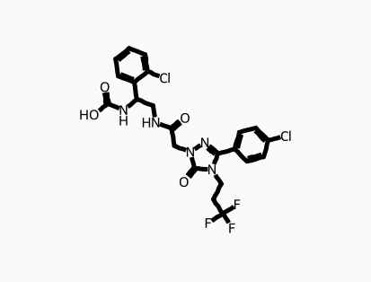 O=C(O)NC(CNC(=O)Cn1nc(-c2ccc(Cl)cc2)n(CCC(F)(F)F)c1=O)c1ccccc1Cl